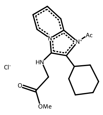 COC(=O)CNc1c(C2CCCCC2)[n+](C(C)=O)c2ccccn12.[Cl-]